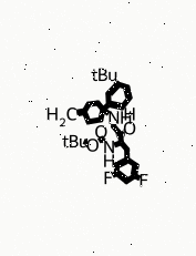 C=C1CCC(NC[C@@H](O)C(Cc2cc(F)cc(F)c2)NC(=O)OC(C)(C)C)(c2cccc(C(C)(C)C)c2)CC1